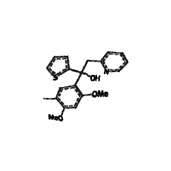 COc1cc(OC)c(C(O)(Cc2ccccn2)c2cccs2)cc1C